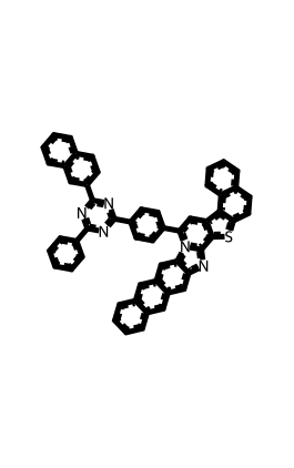 c1ccc(-c2nc(-c3ccc(-c4cc5c(sc6ccc7ccccc7c65)c5nc6cc7cc8ccccc8cc7cc6n45)cc3)nc(-c3ccc4ccccc4c3)n2)cc1